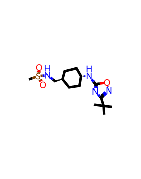 CC(C)(C)c1noc(N[C@H]2CC[C@H](CNS(C)(=O)=O)CC2)n1